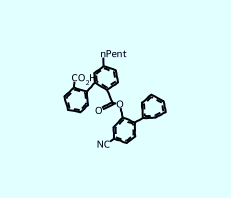 CCCCCc1ccc(C(=O)Oc2cc(C#N)ccc2-c2ccccc2)c(-c2ccccc2C(=O)O)c1